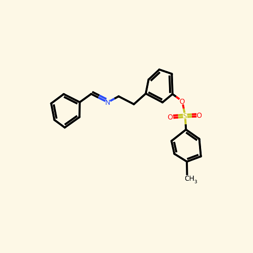 Cc1ccc(S(=O)(=O)Oc2cccc(CCN=Cc3ccccc3)c2)cc1